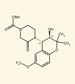 COC(=O)N1CCN([C@H]2c3cc(OC(F)(F)F)ccc3OC(C)(C)[C@@H]2O)C(=O)C1